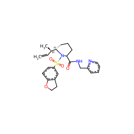 C=C[C@@H](C)[C@@H]1CCCC(C(=O)NCc2ccccn2)N1S(=O)(=O)c1ccc2c(c1)CCO2